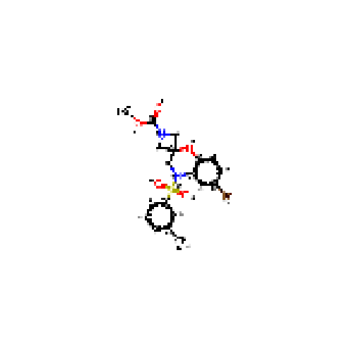 CC(C)(C)OC(=O)N1CC2(C1)CN(S(=O)(=O)c1cccc(C(F)(F)F)c1)c1cc(Br)ccc1O2